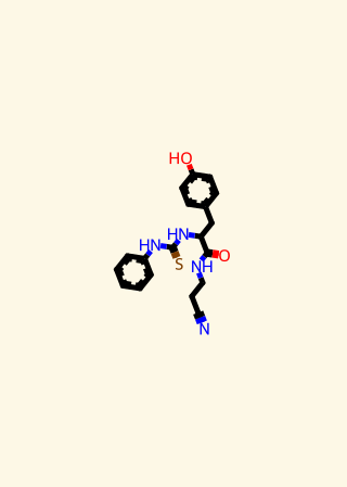 N#CCCNC(=O)C(Cc1ccc(O)cc1)NC(=S)Nc1ccccc1